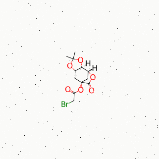 CC1(C)OC2C[C@]3(OC(=O)CBr)C[C@@H](OC3=O)[C@@H]2O1